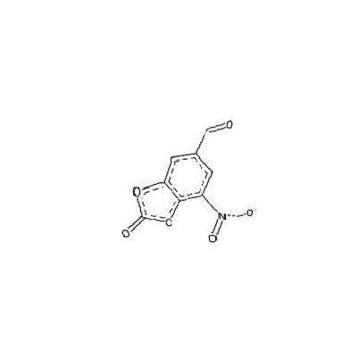 O=Cc1cc([N+](=O)[O-])c2oc(=O)oc2c1